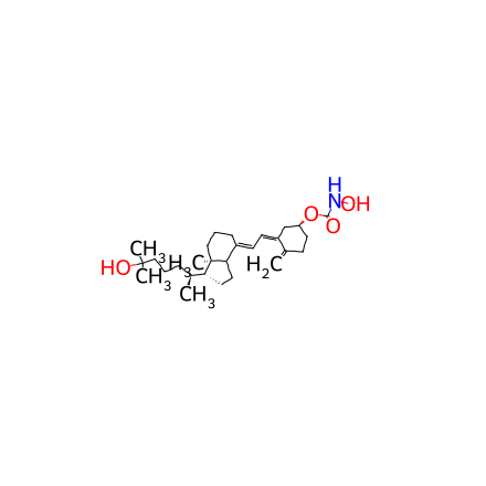 C=C1CC[C@H](OC(=O)NO)C/C1=C/C=C1\CCC[C@@]2(C)C1CC[C@@H]2[C@@H](C)CCCC(C)(C)O